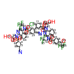 N#Cc1ccc(S(=O)(=O)N(CC(=O)O)c2ncc(N(CC(F)(F)F)S(=O)(=O)c3ccc(C#N)c(-c4cc(S(=O)(=O)N(CC(=O)O)c5ncc(N(CC(F)(F)F)S(=O)(=O)c6ccc(C(=O)C(F)(F)F)cc6)c6ccccc56)ccc4Cl)c3)c3ccccc23)cc1